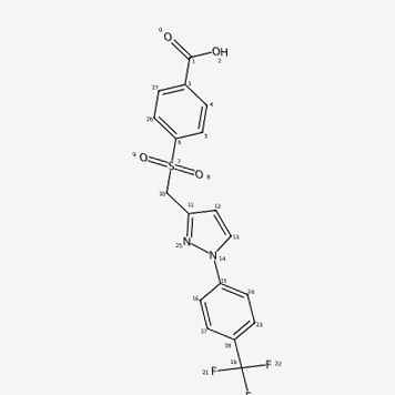 O=C(O)c1ccc(S(=O)(=O)Cc2ccn(-c3ccc(C(F)(F)F)cc3)n2)cc1